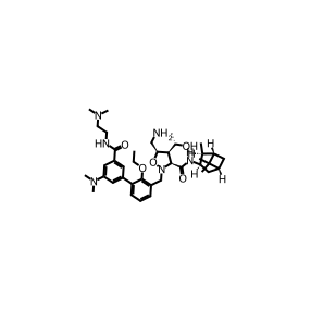 CCOc1c(CN2O[C@@H](CN)[C@@H]([C@H](C)O)[C@H]2C(=O)N[C@@H]2C[C@H]3C[C@@H]([C@@H]2C)C3(C)C)cccc1-c1cc(C(=O)NCCN(C)C)cc(N(C)C)c1